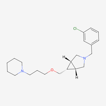 Clc1cccc(CN2C[C@@H]3[C@H](COCCCN4CCCCC4)[C@@H]3C2)c1